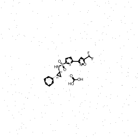 O=C(O)O.O=S(=O)(N[C@H]1C[C@@H]1c1ccccc1)c1ccc(-c2cc(C(F)F)on2)s1